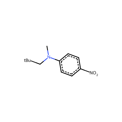 CN(CC(C)(C)C)c1ccc([N+](=O)[O-])cc1